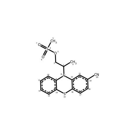 CC(COS(C)(=O)=O)N1c2ccccc2Sc2ccc(C#N)cc21